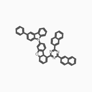 C1=CC2Oc3cc(-n4c5ccccc5c5cc(-c6ccccc6)ccc54)ccc3C2C(c2nc(-c3ccc4ccccc4c3)nc(-c3ccc4ccccc4c3)n2)=C1